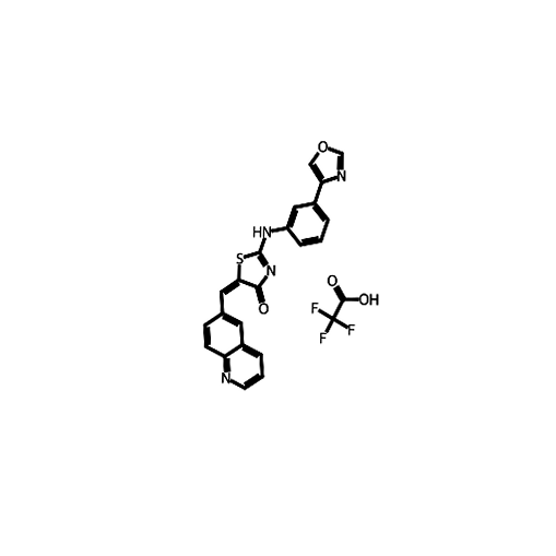 O=C(O)C(F)(F)F.O=C1N=C(Nc2cccc(-c3cocn3)c2)SC1=Cc1ccc2ncccc2c1